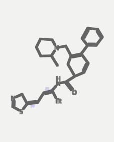 CC/C(=C\C=C1/CN=CS1)NC(=O)C1C=CC(c2ccccc2)=C(CN2CCCCC2C)C1